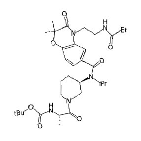 CCC(=O)NCCN1C(=O)C(C)(C)Oc2ccc(C(=O)N(C(C)C)[C@@H]3CCCN(C(=O)[C@H](C)NC(=O)OC(C)(C)C)C3)cc21